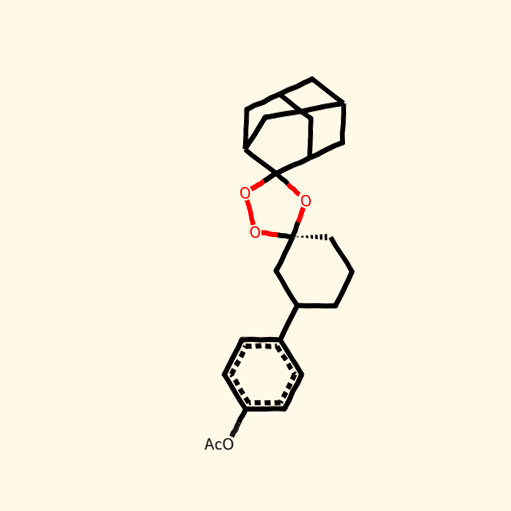 CC(=O)Oc1ccc(C2CCC[C@]3(C2)OOC2(O3)C3CC4CC(C3)CC2C4)cc1